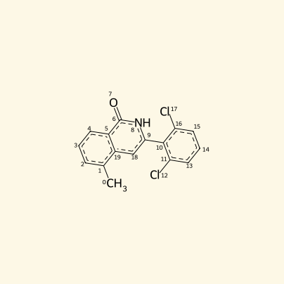 Cc1cccc2c(=O)[nH]c(-c3c(Cl)cccc3Cl)cc12